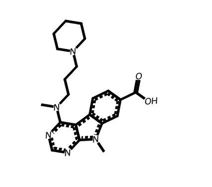 CN(CCCN1CCCCC1)c1ncnc2c1c1ccc(C(=O)O)cc1n2C